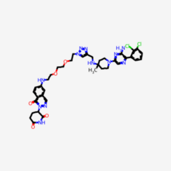 CC1(NCc2cn(CCOCCOCCNc3ccc4c(=O)n(C5CCC(=O)NC5=O)ncc4c3)nn2)CCN(c2cnc(-c3cccc(Cl)c3Cl)c(N)n2)CC1